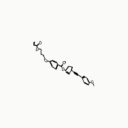 C=CC(=O)OCCCOc1ccc(C(=O)Oc2ccc(C#Cc3ccc(OC)cc3)cc2)cc1